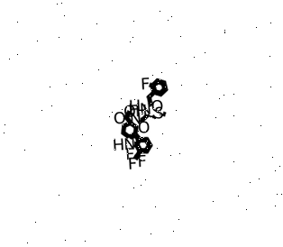 CSC[C@H](NC(=O)Cc1ccccc1F)C(=O)N[C@]1(C(=O)O)CCc2[nH]c3c(C(F)(F)F)cccc3c2C1